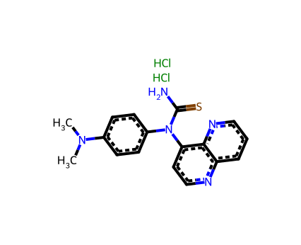 CN(C)c1ccc(N(C(N)=S)c2ccnc3cccnc23)cc1.Cl.Cl